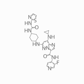 O=C(Nc1nccs1)NC1CCC(Nc2cc(NC3CC3)c3ncc(C(=O)Nc4ccncc4F)n3n2)CC1